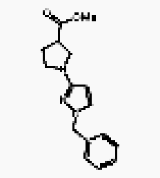 COC(=O)C1CCN(c2ccn(Cc3ccccc3)n2)C1